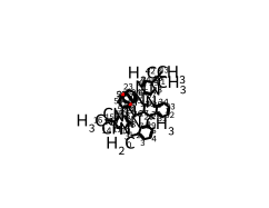 C=Cc1ccccc1N1c2ncc(C(C)(C)C)nc2N(c2ccccc2)C1C1C(C)c2ccccc2N2c3nc(C(C)(C)C)cnc3N(c3ccccc3)C12